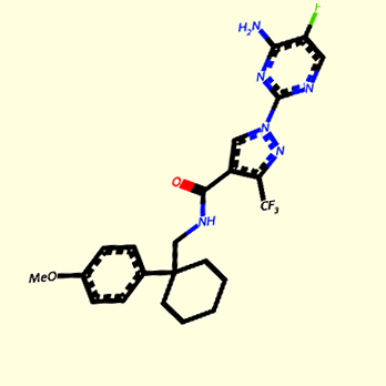 COc1ccc(C2(CNC(=O)c3cn(-c4ncc(F)c(N)n4)nc3C(F)(F)F)CCCCC2)cc1